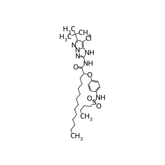 CCCCCCCCCCCCC(Oc1ccc(NS(=O)(=O)CCCC)cc1)C(=O)Nc1nn2nc(C(C)(C)C)c(Cl)c2[nH]1